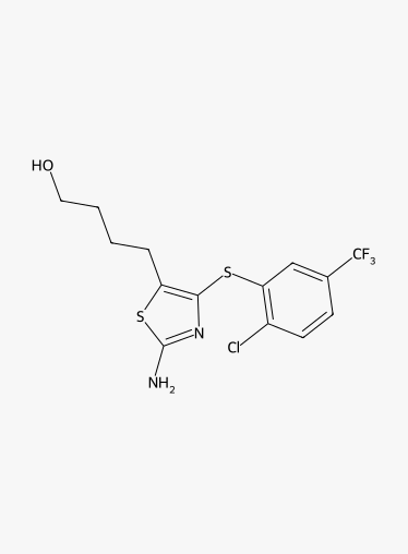 Nc1nc(Sc2cc(C(F)(F)F)ccc2Cl)c(CCCCO)s1